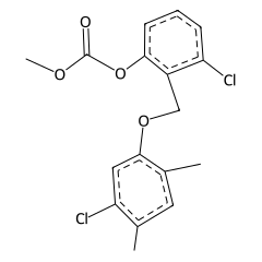 COC(=O)Oc1cccc(Cl)c1COc1cc(Cl)c(C)cc1C